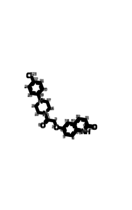 O=C(COc1ccc2[nH]c(=O)ccc2c1)N1CCN(c2ccc(Cl)cc2)CC1